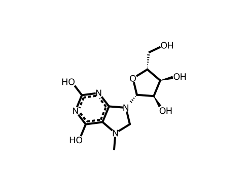 CN1CN([C@@H]2O[C@H](CO)[C@@H](O)[C@H]2O)c2nc(O)nc(O)c21